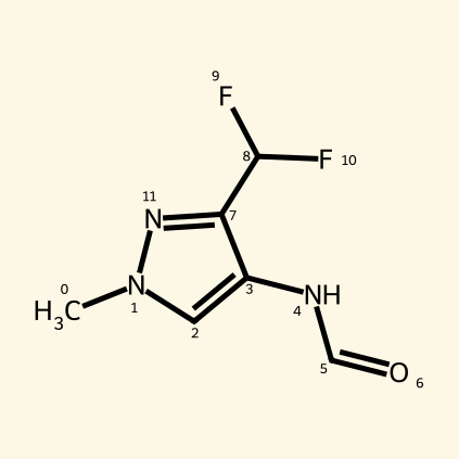 Cn1cc(NC=O)c(C(F)F)n1